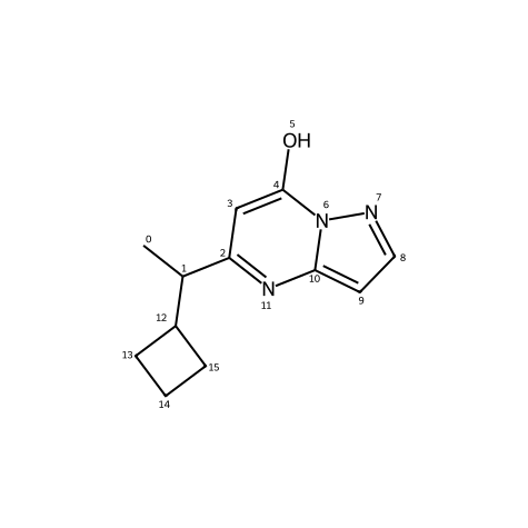 CC(c1cc(O)n2nccc2n1)C1CCC1